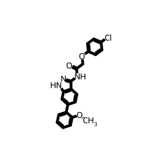 COc1ccccc1-c1ccc2c(NC(=O)COc3ccc(Cl)cc3)n[nH]c2c1